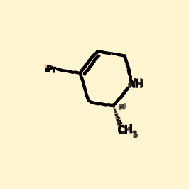 CC(C)C1=CCN[C@H](C)C1